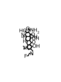 CN(CCF)Cc1cc(N(C)C)c2c(c1O)C(=O)C1=C(O)[C@]3(O)C(=O)C(C(N)=O)=C(O)[C@@H](N(C)C)[C@@H]3C[C@@H]1C2